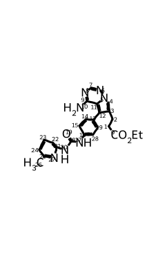 CCOC(=O)CCc1cn2ncnc(N)c2c1-c1ccc(NC(=O)Nc2cccc(C)n2)cc1